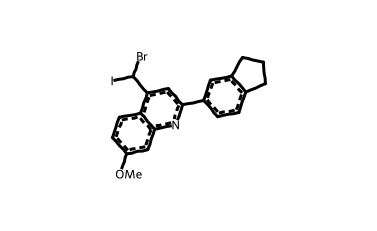 COc1ccc2c(C(Br)I)cc(-c3ccc4c(c3)CCC4)nc2c1